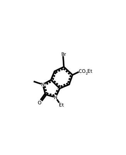 CCOC(=O)c1cc2c(cc1Br)n(C)c(=O)n2CC